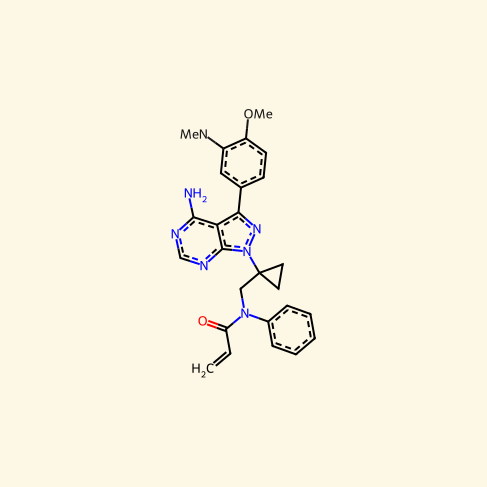 C=CC(=O)N(CC1(n2nc(-c3ccc(OC)c(NC)c3)c3c(N)ncnc32)CC1)c1ccccc1